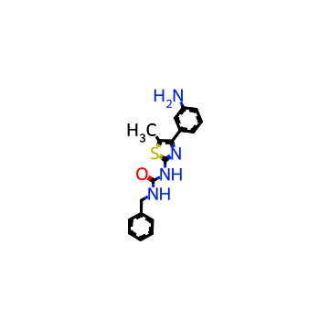 Cc1sc(NC(=O)NCc2ccccc2)nc1-c1cccc(N)c1